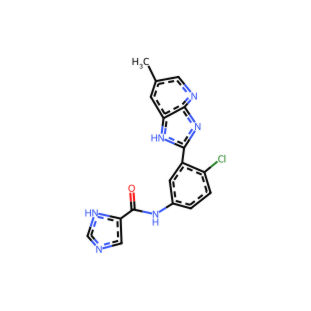 Cc1cnc2nc(-c3cc(NC(=O)c4cnc[nH]4)ccc3Cl)[nH]c2c1